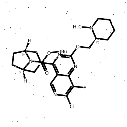 CN1CCCC[C@H]1COc1nc(N2C[C@H]3CC[C@@H](C2)N3C(=O)OC(C)(C)C)c2cnc(Cl)c(F)c2n1